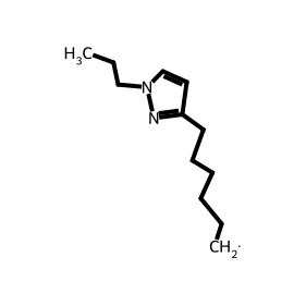 [CH2]CCCCCc1ccn(CCC)n1